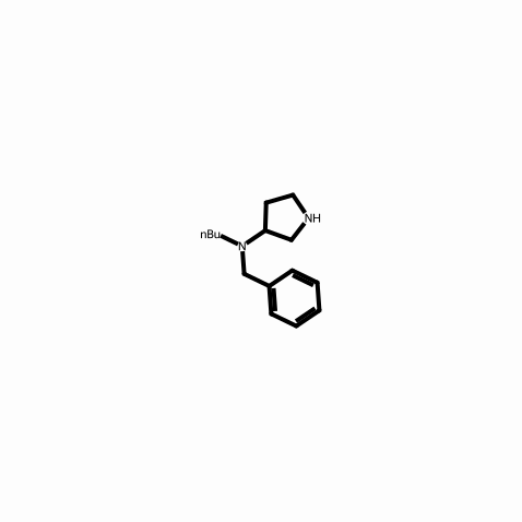 CCCCN(Cc1ccccc1)C1CCNC1